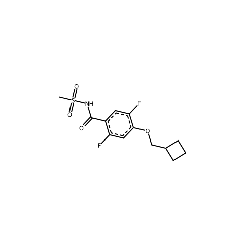 CS(=O)(=O)NC(=O)c1cc(F)c(OCC2CCC2)cc1F